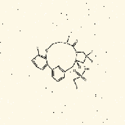 CN1CCOc2c(F)cccc2-c2cccc(c2)C[C@H]2[C@@H](NS(=O)(=O)CF)C(F)(F)CN2C1=O